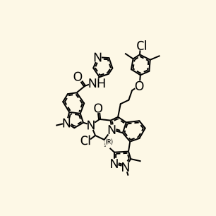 Cc1cc(OCCCc2c3n(c4c(-c5c(C)nn(C)c5C)cccc24)[C@H](C)C(Cl)N(c2cn(C)c4ccc(C(=O)Nc5cccnc5)cc24)C3=O)cc(C)c1Cl